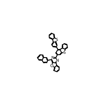 c1ccc2cc(-c3nc(-c4cc(-c5ccc6c(c5)sc5ccccc56)c5c(c4)sc4ccccc45)nc4c3oc3ccccc34)ccc2c1